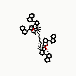 C[SiH2][Ti]([CH3])([CH3])([CH2]CCCC[CH2][Ti]([CH3])([CH3])([SiH2]C)([CH]1C(C)=Cc2c(-c3cccc4ccccc34)cccc21)[CH]1C(C)=Cc2c(-c3cccc4ccccc34)cccc21)([CH]1C(C)=Cc2c(-c3cccc4ccccc34)cccc21)[CH]1C(C)=Cc2c(-c3cccc4ccccc34)cccc21